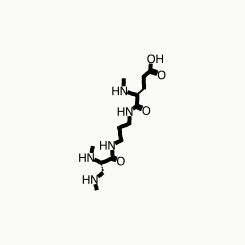 CNC[C@H](NC)C(=O)NCCCNC(=O)[C@H](CCC(=O)O)NC